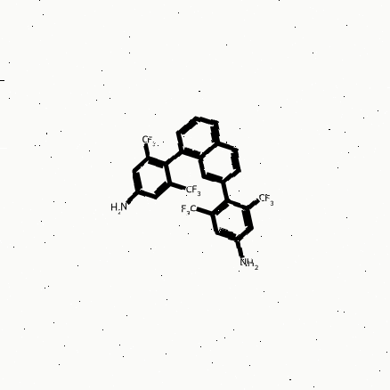 Nc1cc(C(F)(F)F)c(-c2ccc3cccc(-c4c(C(F)(F)F)cc(N)cc4C(F)(F)F)c3c2)c(C(F)(F)F)c1